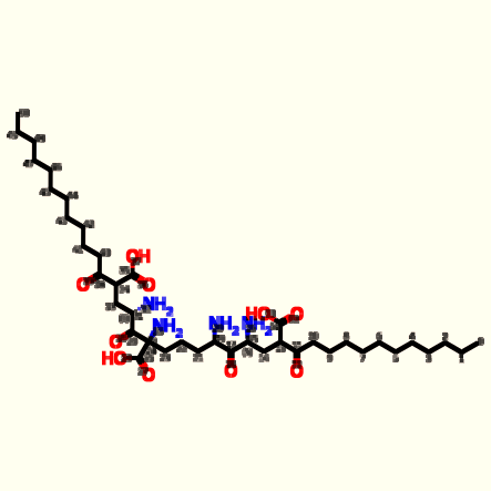 CCCCCCCCCCCC(=O)C(C[C@H](N)C(=O)C(N)CCC[C@](N)(C(=O)O)C(=O)[C@@H](N)CC(C(=O)O)C(=O)CCCCCCCCCCC)C(=O)O